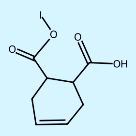 O=C(O)C1CC=CCC1C(=O)OI